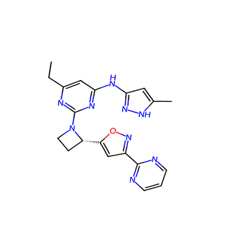 CCc1cc(Nc2cc(C)[nH]n2)nc(N2CC[C@H]2c2cc(-c3ncccn3)no2)n1